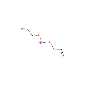 C=CCOPOCC=C